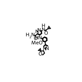 COc1c(Nc2cc(NC(=O)C3CC3)nnc2C(N)=O)cccc1-c1cnn(C2CCOC23CC3)c1